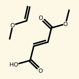 C=COC.COC(=O)C=CC(=O)O